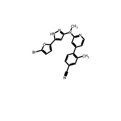 Cc1cc(C#N)ccc1-c1ccnc(N(C)c2cc(-c3ccc(Br)o3)[nH]n2)c1